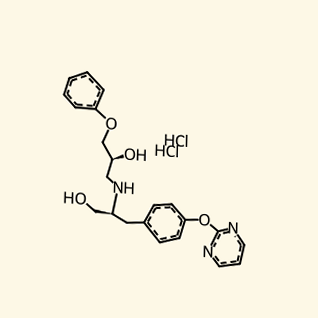 Cl.Cl.OC[C@H](Cc1ccc(Oc2ncccn2)cc1)NC[C@H](O)COc1ccccc1